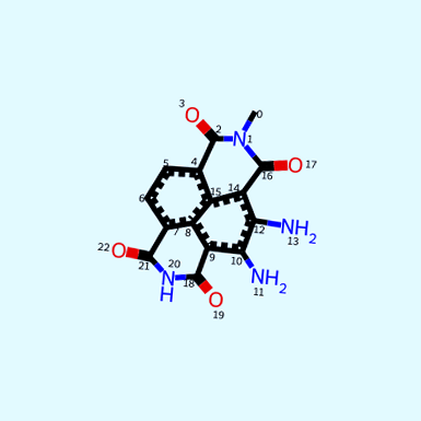 CN1C(=O)c2ccc3c4c(c(N)c(N)c(c24)C1=O)C(=O)NC3=O